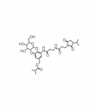 CC(C)C(=O)OCc1ccc(OC2OC(CO)C(O)C(O)C2O)c(NC(=O)CCNC(=O)CCN2C(=O)CC(C(C)C)C2=O)c1